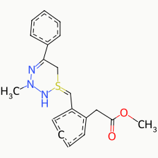 COC(=O)Cc1ccccc1C=S1CC(c2ccccc2)=NN(C)N1